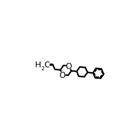 C=CCC1COC(C2CCC(c3ccccc3)CC2)CO1